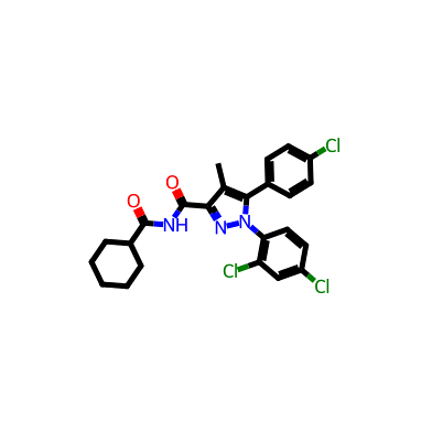 Cc1c(C(=O)NC(=O)C2CCCCC2)nn(-c2ccc(Cl)cc2Cl)c1-c1ccc(Cl)cc1